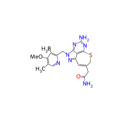 Bc1c(Cn2nc3c4c(nc(N)nc42)SCC(CC(N)=O)=C3)ncc(C)c1OC